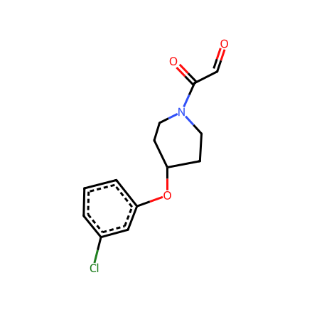 O=CC(=O)N1CCC(Oc2cccc(Cl)c2)CC1